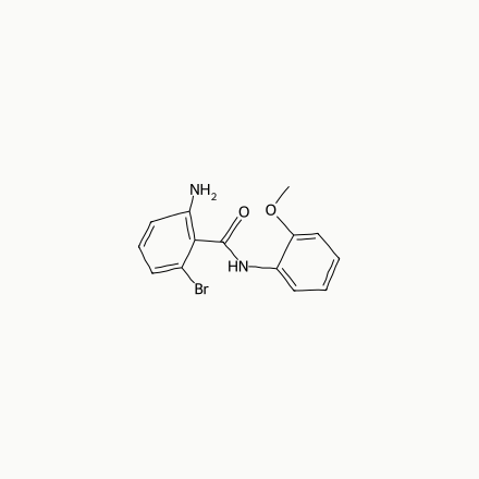 COc1ccccc1NC(=O)c1c(N)cccc1Br